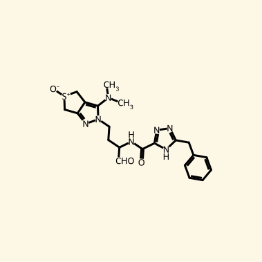 CN(C)c1c2c(nn1CCC(C=O)NC(=O)c1nnc(Cc3ccccc3)[nH]1)C[S+]([O-])C2